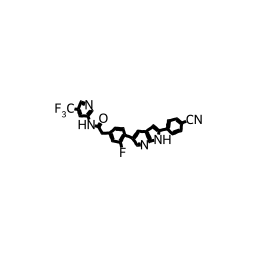 N#Cc1ccc(-c2cc3cc(-c4ccc(CC(=O)Nc5cncc(C(F)(F)F)c5)cc4F)cnc3[nH]2)cc1